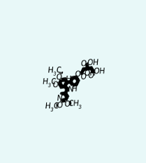 CCOc1cc2c(cc1OC)C(c1cnc(OC)c(OC)c1)=N[C@@H]1CC[C@@H](OC(=O)CC(O)(CC(=O)O)C(=O)O)C[C@H]21